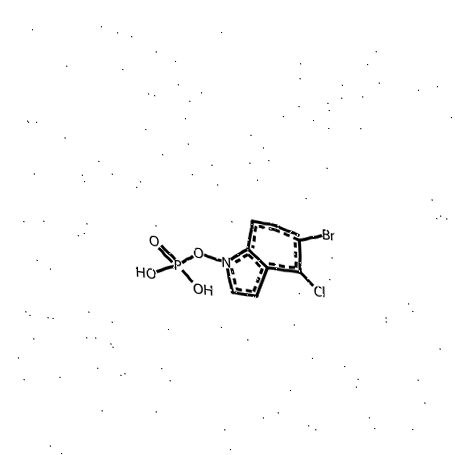 O=P(O)(O)On1ccc2c(Cl)c(Br)ccc21